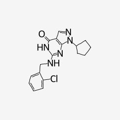 O=c1[nH]c(NCc2ccccc2Cl)nc2c1cnn2C1CCCC1